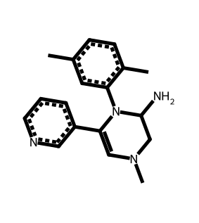 Cc1ccc(C)c(N2C(c3cccnc3)=CN(C)CC2N)c1